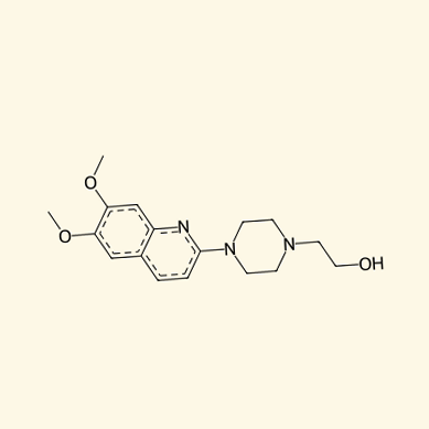 COc1cc2ccc(N3CCN(CCO)CC3)nc2cc1OC